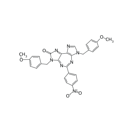 COc1ccc(Cn2c3nc(-c4ccc([N+](=O)[O-])cc4)nc4c(ncn4Cc4ccc(OC)cc4)c-3nc2=O)cc1